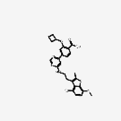 COc1ccc(Cl)c2c(CCNc3cc(-c4ccc(C(=O)O)c(OC5CCC5)c4)ncn3)c(C)sc12